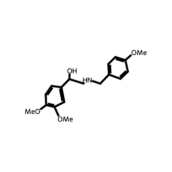 COc1ccc(CNCC(O)c2ccc(OC)c(OC)c2)cc1